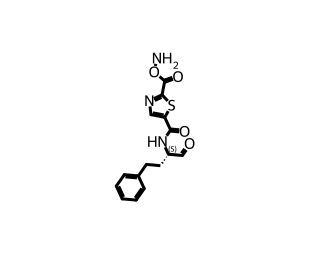 NOC(=O)c1ncc(C(=O)N[C@H](C=O)CCc2ccccc2)s1